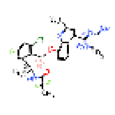 B[C@@](C)(NC(=O)C(C)(F)F)c1cc(F)cc(Cl)c1COc1cccc2c(/C(=N/C=N)NC)cc(C)nc12